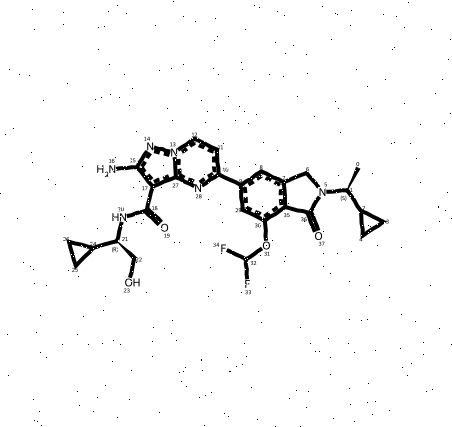 C[C@@H](C1CC1)N1Cc2cc(-c3ccn4nc(N)c(C(=O)N[C@@H](CO)C5CC5)c4n3)cc(OC(F)F)c2C1=O